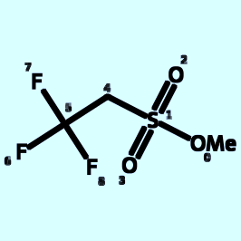 COS(=O)(=O)CC(F)(F)F